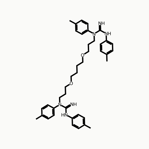 Cc1ccc(NC(=N)N(CCCOCCCCOCCCN(C(=N)Nc2ccc(C)cc2)c2ccc(C)cc2)c2ccc(C)cc2)cc1